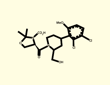 COc1ccc(Cl)c(Cl)c1C1CCN(C(=O)[C@H]2COC(C)(C)N2C(=O)O)C(CO)C1